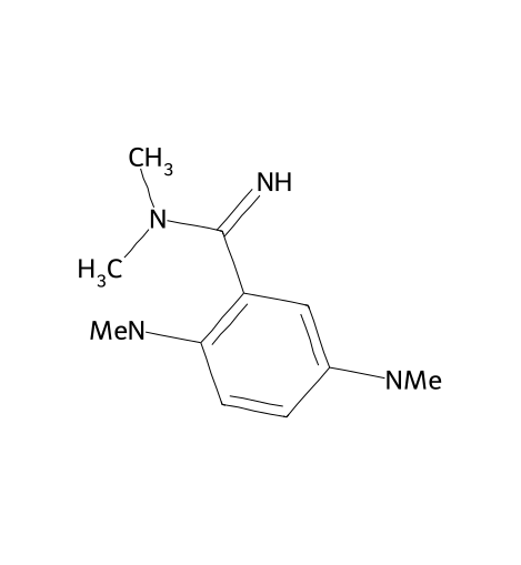 CNc1ccc(NC)c(C(=N)N(C)C)c1